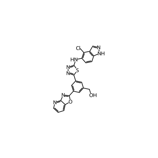 OCc1cc(-c2nc3ncccc3o2)cc(-c2nnc(Nc3ccc4[nH]ncc4c3Cl)s2)c1